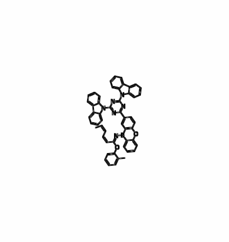 C\C=C/C=C\C(=N\B1c2ccccc2Oc2ccc(-c3nc(-n4c5ccccc5c5ccccc54)nc(-n4c5ccccc5c5ccccc54)n3)cc21)Oc1ccccc1C